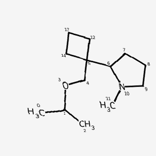 CC(C)OCC1(C2CCCN2C)CCC1